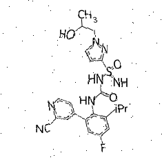 CC(O)Cn1ccc(S(=N)(=O)NC(=O)Nc2c(-c3ccnc(C#N)c3)cc(F)cc2C(C)C)n1